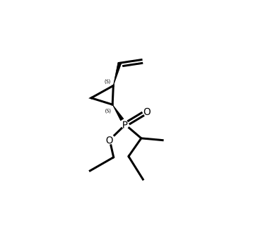 C=C[C@@H]1C[C@@H]1P(=O)(OCC)C(C)CC